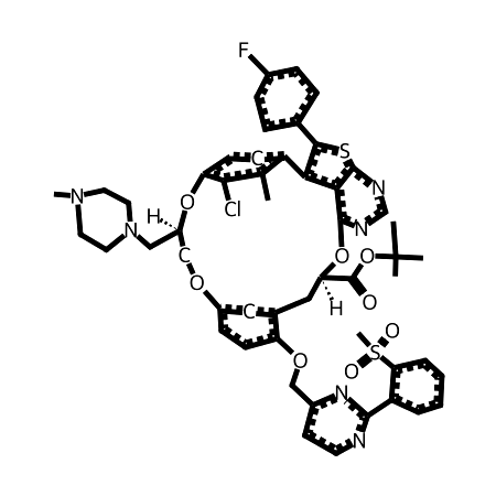 Cc1c2ccc(c1Cl)O[C@H](CN1CCN(C)CC1)COc1ccc(OCc3ccnc(-c4ccccc4S(C)(=O)=O)n3)c(c1)C[C@H](C(=O)OC(C)(C)C)Oc1ncnc3sc(-c4ccc(F)cc4)c-2c13